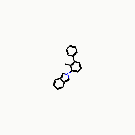 Cc1c(-c2ccccc2)cccc1-n1cc2ccccc2c1